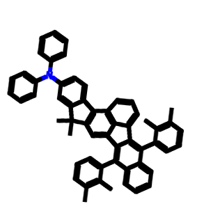 Cc1cccc(-c2c3c(c(-c4cccc(C)c4C)c4ccccc24)-c2cc4c(c5cccc-3c25)-c2ccc(N(c3ccccc3)c3ccccc3)cc2C4(C)C)c1C